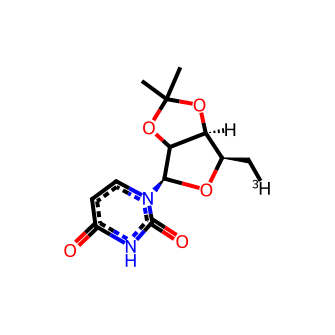 [3H]C[C@H]1O[C@@H](n2ccc(=O)[nH]c2=O)C2OC(C)(C)O[C@H]21